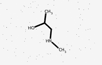 CN[CH]C(C)O